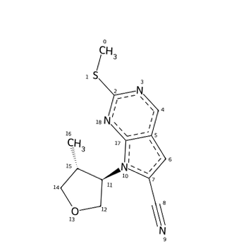 CSc1ncc2cc(C#N)n([C@H]3COC[C@@H]3C)c2n1